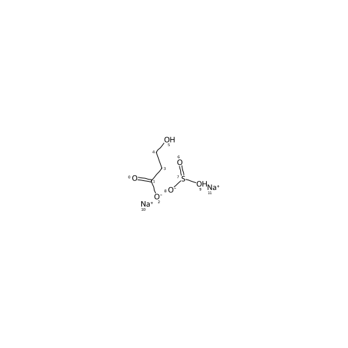 O=C([O-])CCO.O=S([O-])O.[Na+].[Na+]